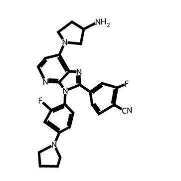 N#Cc1ccc(-c2nc3c(N4CCC(N)C4)ccnc3n2-c2ccc(N3CCCC3)cc2F)cc1F